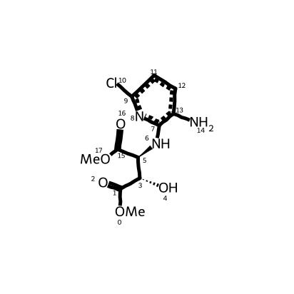 COC(=O)[C@@H](O)[C@H](Nc1nc(Cl)ccc1N)C(=O)OC